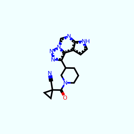 N#CC1(C(=O)N2CCCC(c3nnn4cnc5[nH]ccc5c34)C2)CC1